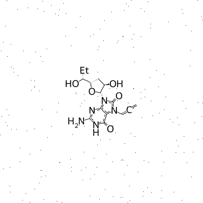 C=C=Cn1c(=O)n([C@@H]2O[C@H]([C@H](O)CC)C[C@H]2O)c2nc(N)[nH]c(=O)c21